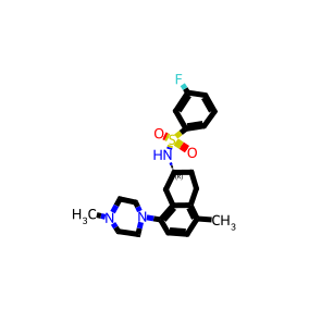 Cc1ccc(N2CCN(C)CC2)c2c1CC[C@@H](NS(=O)(=O)c1cccc(F)c1)C2